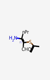 C=C(C)S/C(C=O)=C(/N)CCC